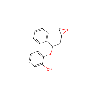 Oc1ccccc1OC(CC1CO1)c1ccccc1